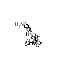 C[C@@H]1COc2nc(-c3cscn3)n(CC(=O)NCc3cc4cnc(N)cc4s3)c(=O)c2N1